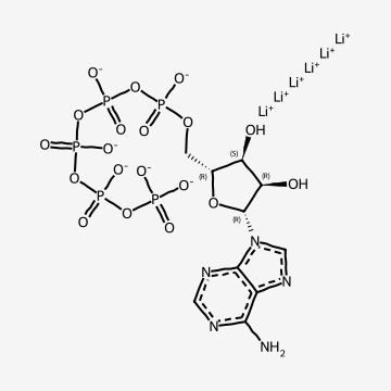 Nc1ncnc2c1ncn2[C@@H]1O[C@H](COP(=O)([O-])OP(=O)([O-])OP(=O)([O-])OP(=O)([O-])OP(=O)([O-])[O-])[C@@H](O)[C@H]1O.[Li+].[Li+].[Li+].[Li+].[Li+].[Li+]